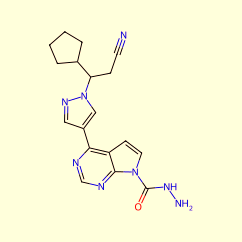 N#CCC(C1CCCC1)n1cc(-c2ncnc3c2ccn3C(=O)NN)cn1